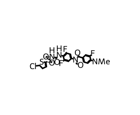 CNc1cc2c(cc1F)C(=O)N(c1cc(F)c(NC(=O)NS(=O)(=O)C3=CCC(Cl)S3)c(F)c1)CO2